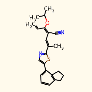 C=C/C(OC(C)C)=C(C#N)\C=C(/C)c1ncc(-c2cccc3c2CCC3)s1